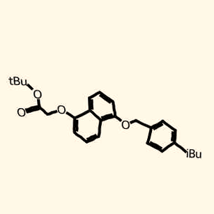 CCC(C)c1ccc(COc2cccc3c(OCC(=O)OC(C)(C)C)cccc23)cc1